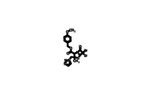 COc1ccc(COC(=O)C2N3C(=O)C(Br)(Br)C3SC2(C)Cn2ccnn2)cc1